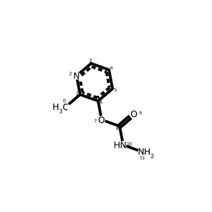 Cc1ncccc1OC(=O)NN